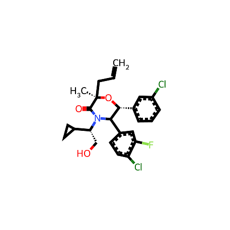 C=CC[C@@]1(C)O[C@H](c2cccc(Cl)c2)C(c2ccc(Cl)c(F)c2)N([C@H](CO)C2CC2)C1=O